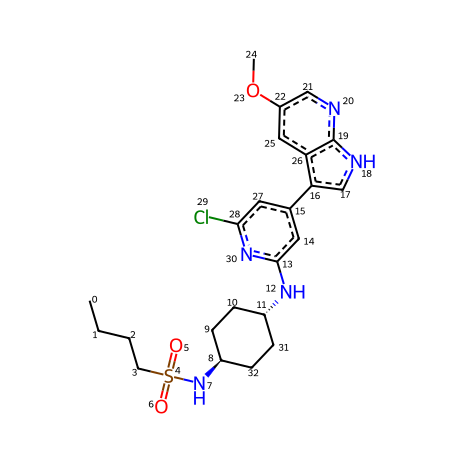 CCCCS(=O)(=O)N[C@H]1CC[C@H](Nc2cc(-c3c[nH]c4ncc(OC)cc34)cc(Cl)n2)CC1